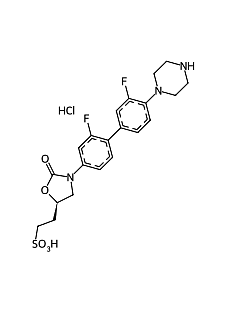 Cl.O=C1O[C@H](CCS(=O)(=O)O)CN1c1ccc(-c2ccc(N3CCNCC3)c(F)c2)c(F)c1